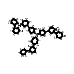 c1ccc(-c2cccc(-c3ccc(N(c4ccc(-c5cccc(-n6c7ccccc7c7ccccc76)c5)cc4)c4ccc(-c5ccc6oc7ccccc7c6c5)cc4)cc3)c2)cc1